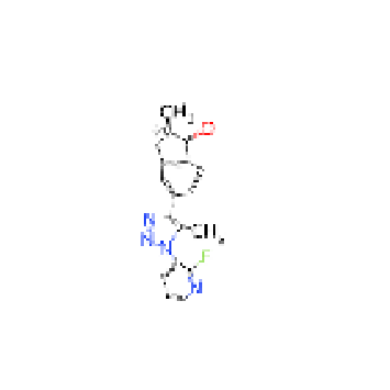 Cc1c(-c2ccc3c(c2)C[C@@H](C)C3=O)nnn1-c1cccnc1F